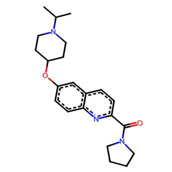 CC(C)N1CCC(Oc2ccc3nc(C(=O)N4CCCC4)ccc3c2)CC1